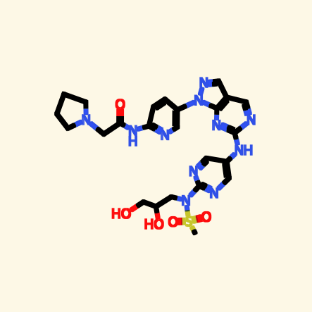 CS(=O)(=O)N(CC(O)CO)c1ncc(Nc2ncc3cnn(-c4ccc(NC(=O)CN5CCCC5)nc4)c3n2)cn1